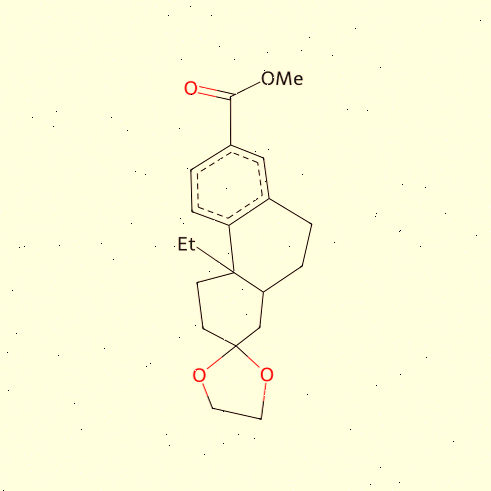 CCC12CCC3(CC1CCc1cc(C(=O)OC)ccc12)OCCO3